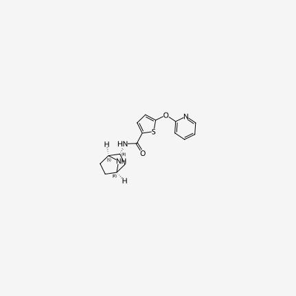 O=C(N[C@@H]1C[C@H]2CC[C@@H]1N2)c1ccc(Oc2ccccn2)s1